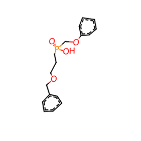 O=P(O)(CCCOCc1ccccc1)COc1ccccc1